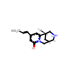 CCOC(=O)/C=C/c1cc2n(c(=O)c1)CC1CNC[C@@H]2C1